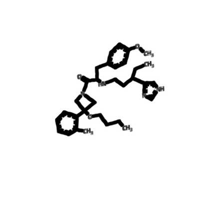 CCCCOC1(c2ccccc2C)CN(C(=O)C(Cc2ccc(OC)cc2)NCCC(CC)c2c[nH]cn2)C1